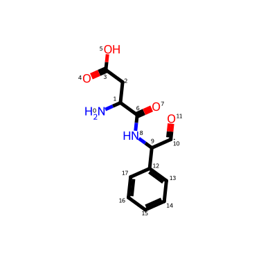 NC(CC(=O)O)C(=O)NC([C]=O)c1ccccc1